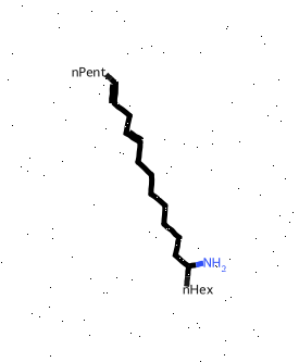 CCCCC/C=C/C/C=C/CCCCCCCC(N)CCCCCC